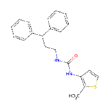 O=C(NCCC(c1ccccc1)c1ccccc1)Nc1ccsc1C(=O)O